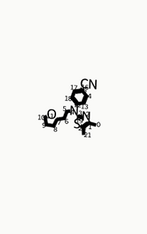 Cc1nc(N(CCC2CCCO2)c2ccc(C#N)cc2)sc1C